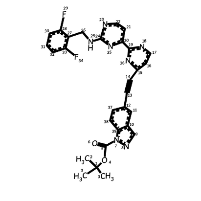 CC(C)(C)OC(=O)n1ncc2cc(C#Cc3ccnc(-c4ccnc(NCc5c(F)cccc5F)n4)n3)ccc21